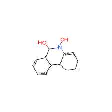 OC1C2C=CC=CC2C2CCCC=C2N1O